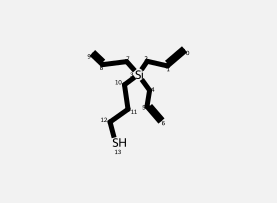 C=CC[Si](CC=C)(CC=C)CCCS